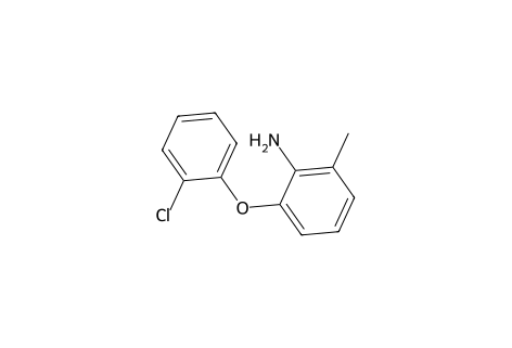 Cc1cccc(Oc2ccccc2Cl)c1N